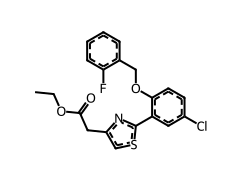 CCOC(=O)Cc1csc(-c2cc(Cl)ccc2OCc2ccccc2F)n1